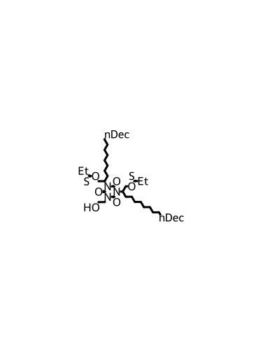 CCCCCCCCCCCCCCCCCCC(COC(=S)CC)n1c(=O)n(CCO)c(=O)n(C(CCCCCCCCCCCCCCCCCC)COC(=S)CC)c1=O